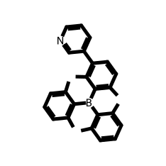 Cc1cccc(C)c1B(c1c(C)cccc1C)c1c(C)ccc(-c2cccnc2)c1C